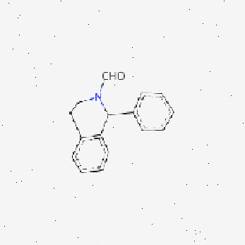 O=CN1CCc2ccccc2C1c1ccccc1